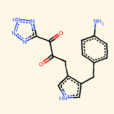 Nc1ccc(Cc2c[nH]cc2CC(=O)C(=O)c2nn[nH]n2)cc1